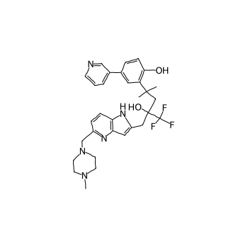 CN1CCN(Cc2ccc3[nH]c(CC(O)(CC(C)(C)c4cc(-c5cccnc5)ccc4O)C(F)(F)F)cc3n2)CC1